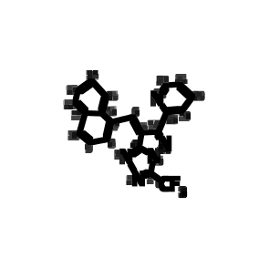 FC(F)(F)c1nnc2c(=Cc3cccc4ccccc34)c(-c3ccccn3)nn12